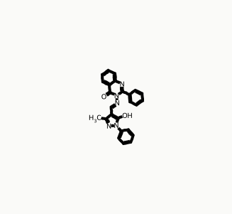 Cc1nn(-c2ccccc2)c(O)c1C=Nn1c(-c2ccccc2)nc2ccccc2c1=O